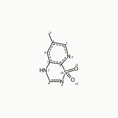 Cc1cnc2c(c1)NC=NS2(=O)=O